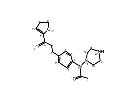 CC(=O)N(c1ccc(CCC(=O)C2=CCCO2)cc1)N1CCNCC1